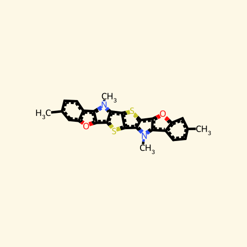 Cc1ccc2c(c1)oc1c3sc4c(sc5c6oc7cc(C)ccc7c6n(C)c54)c3n(C)c21